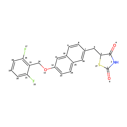 O=C1NC(=O)C(Cc2ccc3cc(OCc4c(F)cccc4F)ccc3c2)S1